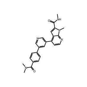 CNC(=O)c1cc2c(-c3cncc(-c4ccc(C(=O)N(C)C)cc4)c3)ccnc2n1C